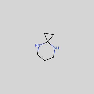 C1CNC2(CC2)NC1